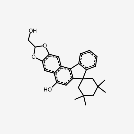 CC1(C)CC(C)(C)CC2(C1)c1ccccc1-c1c2cc(O)c2cc3c(cc12)OC(CO)O3